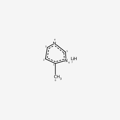 Cc1ccncn1.[LiH]